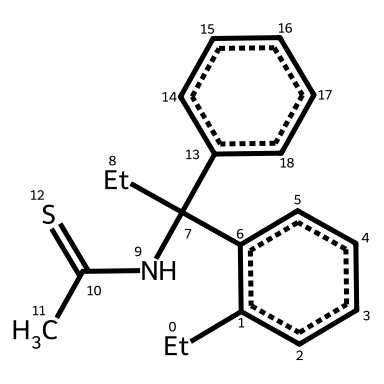 CCc1ccccc1C(CC)(NC(C)=S)c1ccccc1